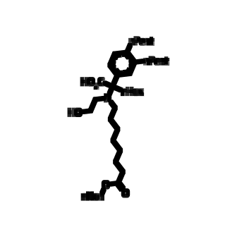 CCCCCCCCCOC(=O)CCCCCCCN(CCO)C(CCCCCC)(C(=O)O)c1ccc(CCCCC)c(CCCCC)c1